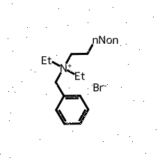 CCCCCCCCCCC[N+](CC)(CC)Cc1ccccc1.[Br-]